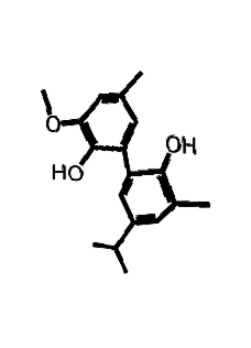 COc1cc(C)cc(-c2cc(C(C)C)cc(C)c2O)c1O